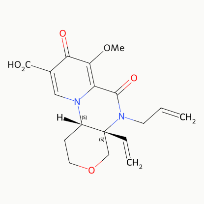 C=CCN1C(=O)c2c(OC)c(=O)c(C(=O)O)cn2[C@H]2CCOC[C@]21C=C